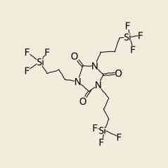 O=c1n(CCC[Si](F)(F)F)c(=O)n(CCC[Si](F)(F)F)c(=O)n1CCC[Si](F)(F)F